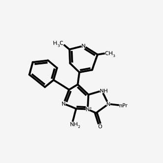 CCCn1[nH]c2c(-c3cc(C)nc(C)c3)c(-c3ccccc3)nc(N)[n+]2c1=O